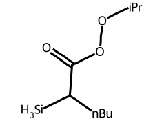 CCCCC([SiH3])C(=O)OOC(C)C